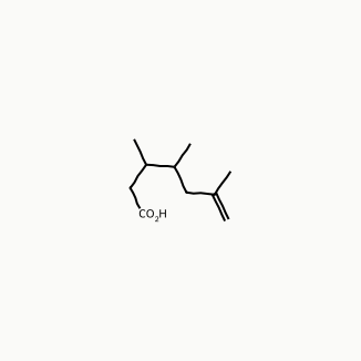 C=C(C)CC(C)C(C)CC(=O)O